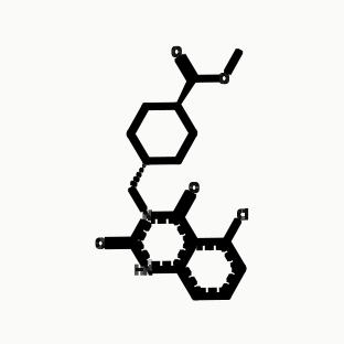 COC(=O)[C@H]1CC[C@H](Cn2c(=O)[nH]c3cccc(Cl)c3c2=O)CC1